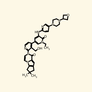 CCn1cc(-c2ccnc(-n3ccn4c5c(cc4c3=O)CC(C)(C)C5)c2CO)cc(Nc2ccc(N3CCN(C4COC4)CC3)cn2)c1=O